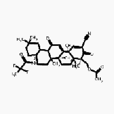 CC(=O)OC[C@]1(C)C(=O)C(C#N)=C[C@]2(C)C3=CC(=O)C4C5CC(C)(C)CC[C@]5(NC(=O)C(C)(F)F)CC[C@@]4(C)[C@]3(C)CC[C@H]21